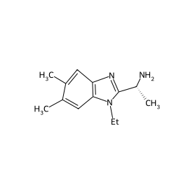 CCn1c([C@@H](C)N)nc2cc(C)c(C)cc21